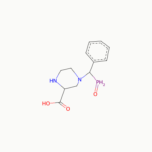 O=[PH2]C(c1ccccc1)N1CCNC(C(=O)O)C1